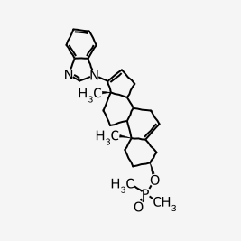 C[C@]12CC[C@H](OP(C)(C)=O)CC1=CCC1C2CC[C@]2(C)C(n3cnc4ccccc43)=CCC12